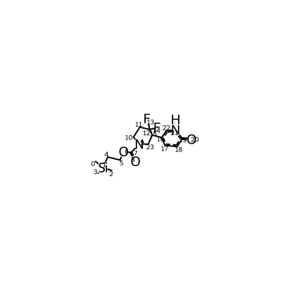 C[Si](C)(C)CCOC(=O)N1CCC(F)(F)C(c2ccc(=O)[nH]c2)C1